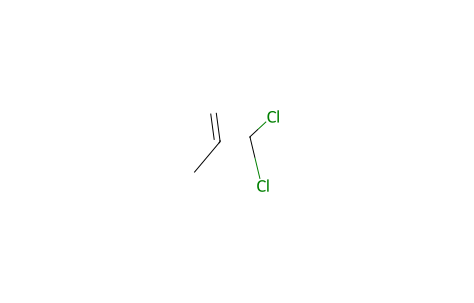 C=CC.ClCCl